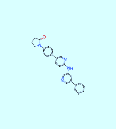 O=C1CCCN1c1ccc(-c2ccc(Nc3cncc(-c4c[c]ccc4)c3)nc2)cc1